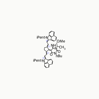 CCCCN1C(=O)C(=C2/C(=C/C=c3\c4cccc5cccc(c54)n3C(C)CCC)CC/C2=C\C=c2/c3cccc4cccc(c43)n2C(C)CCC)C(=N)N(C(C)COC)C1=O